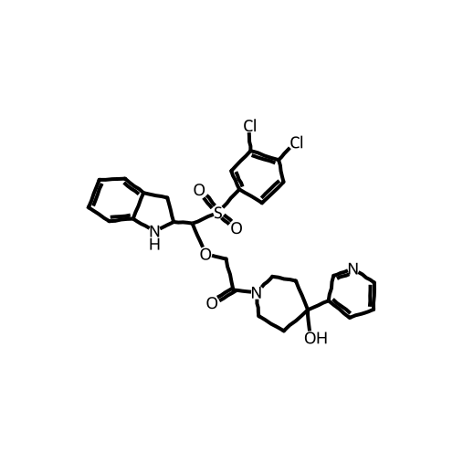 O=C(COC(C1Cc2ccccc2N1)S(=O)(=O)c1ccc(Cl)c(Cl)c1)N1CCC(O)(c2cccnc2)CC1